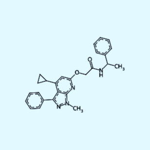 CC(NC(=O)COc1cc(C2CC2)c2c(-c3ccccc3)nn(C)c2n1)c1ccccc1